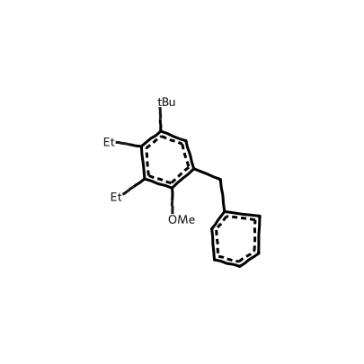 CCc1c(C(C)(C)C)cc(Cc2ccccc2)c(OC)c1CC